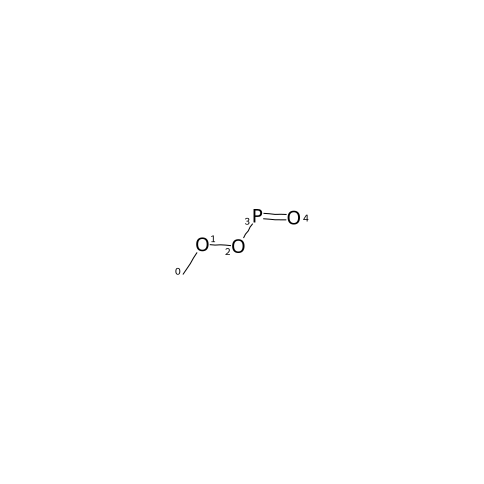 COOP=O